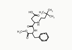 COC(=O)C(Cc1ccccc1)NC(=O)C(CC(=O)O)NCCC(C)(C)C